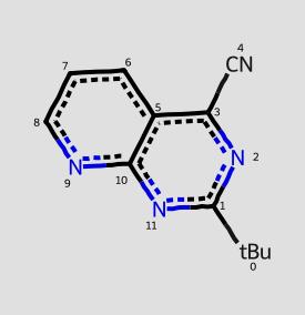 CC(C)(C)c1nc(C#N)c2cccnc2n1